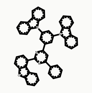 c1ccc(-c2cc(-c3cc(-n4c5ccccc5c5ccccc54)cc(-n4c5ccccc5c5ccccc54)c3)nc(-c3cccc4oc5ccccc5c34)n2)cc1